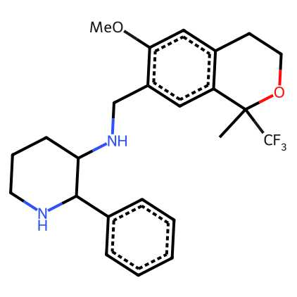 COc1cc2c(cc1CNC1CCCNC1c1ccccc1)C(C)(C(F)(F)F)OCC2